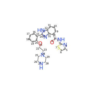 O=C(Nc1nccs1)c1cccc2[nH]c(-c3ccccc3OCCN3CCNCC3)nc12